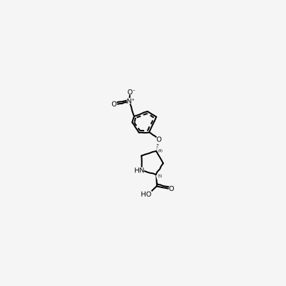 O=C(O)[C@@H]1C[C@@H](Oc2ccc([N+](=O)[O-])cc2)CN1